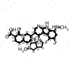 CNc1cc(F)c(F)c2c1[nH]c1ncc(-c3ccc4ccc(C(=O)O)c(=O)n4c3)c(N3CCC4CN(C)C[C@@H]43)c12